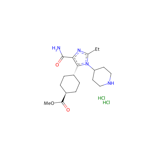 CCc1nc(C(N)=O)c([C@H]2CC[C@H](C(=O)OC)CC2)n1C1CCNCC1.Cl.Cl